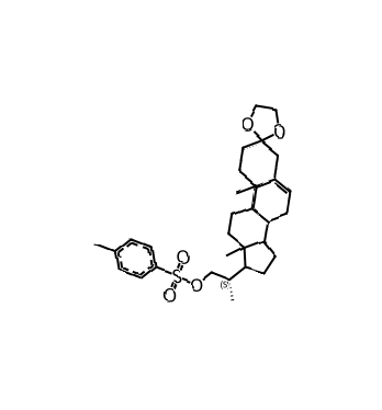 Cc1ccc(S(=O)(=O)OC[C@@H](C)C2CCC3C4CC=C5CC6(CCC5(C)C4CCC32C)OCCO6)cc1